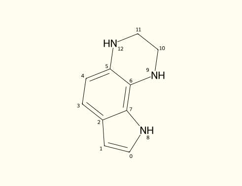 c1cc2ccc3c(c2[nH]1)NCCN3